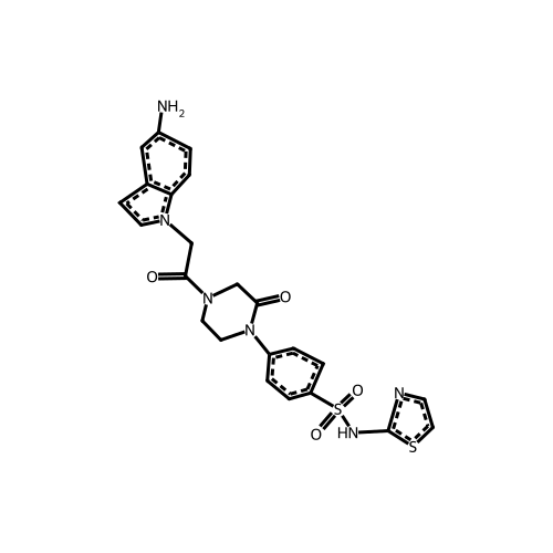 Nc1ccc2c(ccn2CC(=O)N2CCN(c3ccc(S(=O)(=O)Nc4nccs4)cc3)C(=O)C2)c1